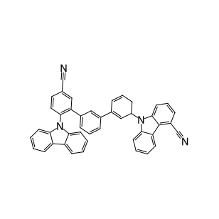 N#Cc1ccc(-n2c3ccccc3c3ccccc32)c(-c2cccc(C3=CC(n4c5ccccc5c5c(C#N)cccc54)CC=C3)c2)c1